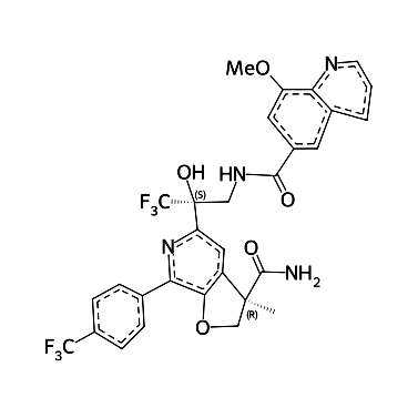 COc1cc(C(=O)NC[C@](O)(c2cc3c(c(-c4ccc(C(F)(F)F)cc4)n2)OC[C@]3(C)C(N)=O)C(F)(F)F)cc2cccnc12